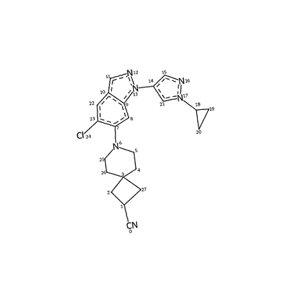 N#CC1CC2(CCN(c3cc4c(cnn4-c4cnn(C5CC5)c4)cc3Cl)CC2)C1